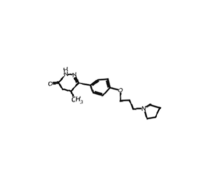 CC1CC(=O)NN=C1c1ccc(OCCCN2CCCC2)cc1